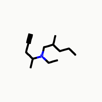 C#CCC(C)N(CC)CC(C)CCC